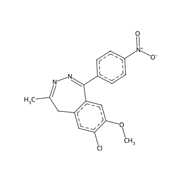 COc1cc2c(cc1Cl)CC(C)=NN=C2c1ccc([N+](=O)[O-])cc1